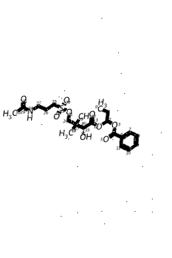 CCC(OC(=O)c1ccccc1)OC(=O)[C@H](O)C(C)(C)COS(=O)(=O)CCCNC(C)=O